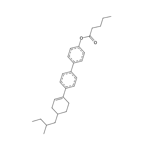 CCCCC(=O)Oc1ccc(-c2ccc(C3=CCC(CC(C)CC)CC3)cc2)cc1